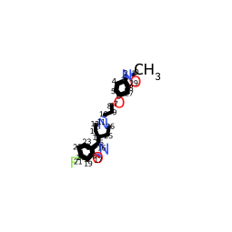 Cc1nc2ccc(OCCCN3CCC(c4noc5cc(F)ccc45)CC3)cc2o1